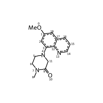 COc1cc(N2CCN(C)C(=O)C2)c2ncccc2c1